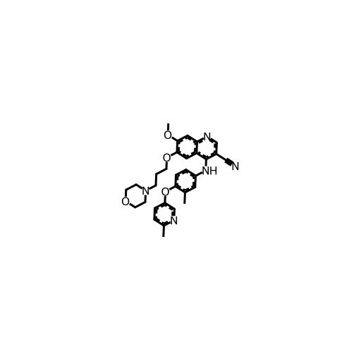 COc1cc2ncc(C#N)c(Nc3ccc(Oc4ccc(C)nc4)c(C)c3)c2cc1OCCCN1CCOCC1